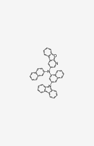 c1ccc2cc(N(c3cnc4oc5ccccc5c4c3)c3cc(-n4c5ccccc5c5ccccc54)cc4ccccc34)ccc2c1